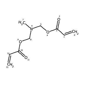 C=CC(=O)OCN(C)COC(=O)C=C